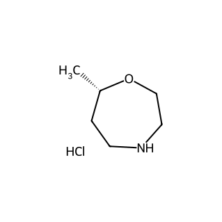 C[C@H]1CCNCCO1.Cl